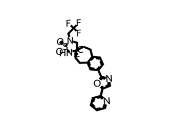 O=S1(=O)NC2(CN1CC(F)(F)F)C1CCC2Cc2cc(-c3ncc(-c4ccccn4)o3)ccc2C1